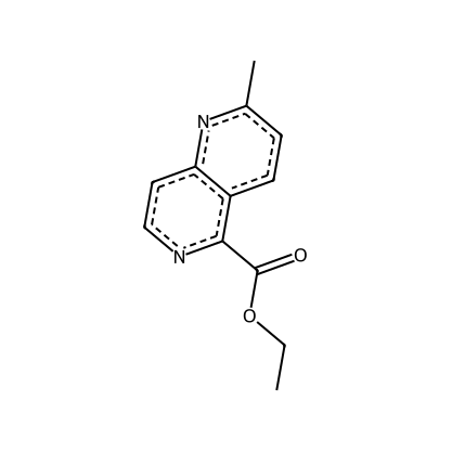 CCOC(=O)c1nccc2nc(C)ccc12